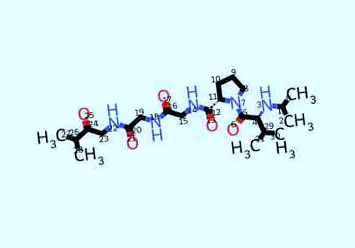 CC(C)N[C@H](C(=O)N1CCC[C@H]1C(=O)NCC(=O)NCC(=O)NCC(=O)C(C)C)C(C)C